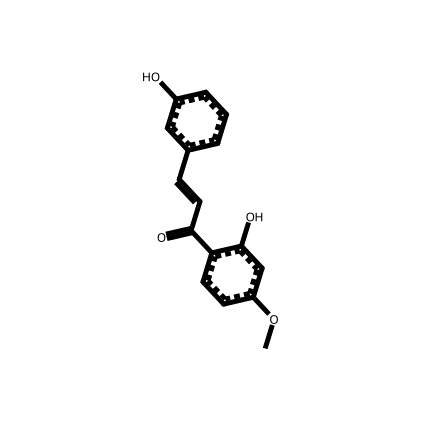 COc1ccc(C(=O)C=Cc2cccc(O)c2)c(O)c1